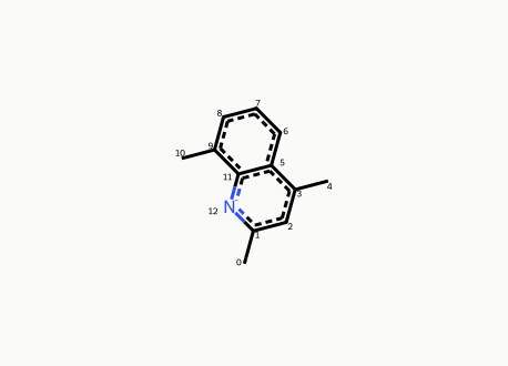 Cc1cc(C)c2cccc(C)c2n1